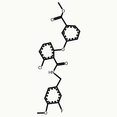 COC(=O)c1cccc(Oc2cccc(Cl)c2C(=O)NCc2ccc(OC)c(F)c2)c1